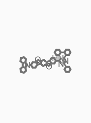 c1ccc(C2=NC(c3ccccc3-c3ccccc3)NC(c3ccc4c(c3)oc3cc5c(cc34)oc3cc(-n4c6ccccc6c6ccccc64)ccc35)=N2)cc1